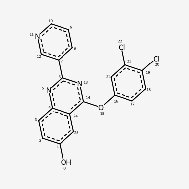 Oc1ccc2nc(-c3cccnc3)nc(Oc3ccc(Cl)c(Cl)c3)c2c1